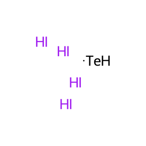 I.I.I.I.[TeH]